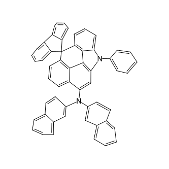 c1ccc(-n2c3cccc4c3c3c5c(cccc5c(N(c5ccc6ccccc6c5)c5ccc6ccccc6c5)cc32)C42c3ccccc3-c3ccccc32)cc1